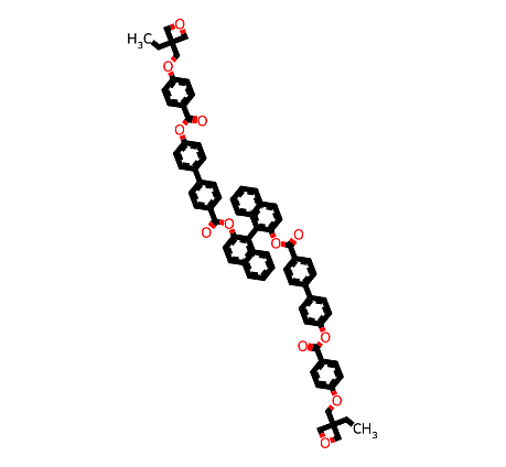 CCC1(COc2ccc(C(=O)Oc3ccc(-c4ccc(C(=O)Oc5ccc6ccccc6c5-c5c(OC(=O)c6ccc(-c7ccc(OC(=O)c8ccc(OCC9(CC)COC9)cc8)cc7)cc6)ccc6ccccc56)cc4)cc3)cc2)COC1